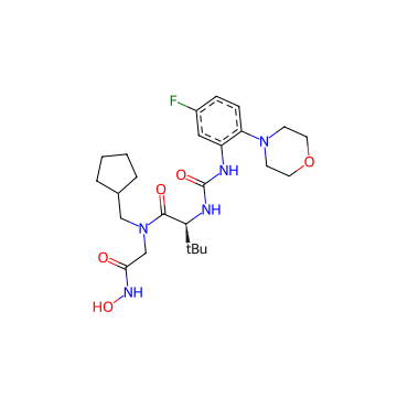 CC(C)(C)[C@H](NC(=O)Nc1cc(F)ccc1N1CCOCC1)C(=O)N(CC(=O)NO)CC1CCCC1